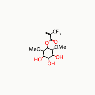 C=C(C(=O)OC1C(OC)C(O)C(O)C(O)C1OC)C(F)(F)F